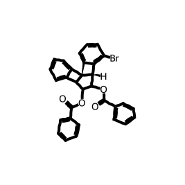 O=C(OC1C(OC(=O)c2ccccc2)[C@H]2c3c(Br)cccc3[C@@]23c2ccccc2C13)c1ccccc1